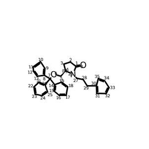 O=C1CC[C@H](COC(c2ccccc2)(c2ccccc2)c2ccccc2)N1CCCc1ccccc1